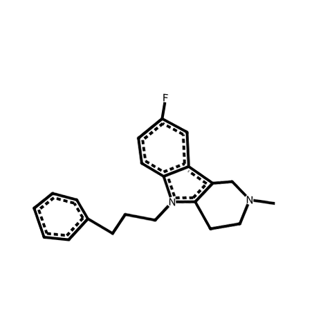 CN1CCc2c(c3cc(F)ccc3n2CCCc2ccccc2)C1